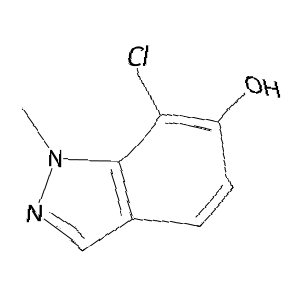 Cn1ncc2ccc(O)c(Cl)c21